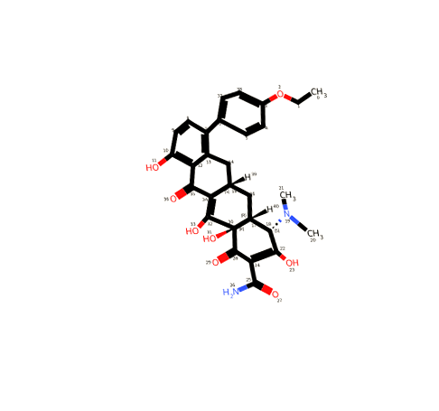 CCOc1ccc(-c2ccc(O)c3c2C[C@@H]2C[C@@H]4[C@H](N(C)C)C(O)=C(C(N)=O)C(=O)[C@]4(O)C(O)=C2C3=O)cc1